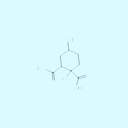 CC1CCC(O)(C(=O)O)C(C(=O)O)C1